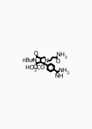 CCCCN1C(=O)C2CN(CCC(N)=O)C(OC(=O)O)(c3ccc(C(=N)N)cc3)C2C1=O